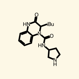 CCC(C)C1C(=O)Nc2ccccc2N1C(=O)NC1CCNC1